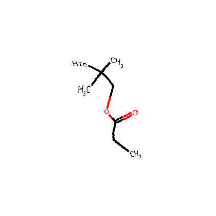 CCC(=O)OCC(C)(C)[TeH]